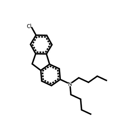 CCCCN(CCCC)c1ccc2c(c1)-c1ccc(Cl)cc1C2